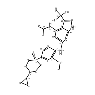 COc1cc(P2(=O)CCN(C3CC3)CC2)ccc1Nc1nc(NC(C)C)c2c(C(F)(F)F)c[nH]c2n1